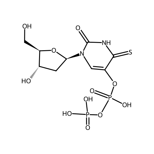 O=c1[nH]c(=S)c(OP(=O)(O)OP(=O)(O)O)cn1[C@H]1C[C@H](O)[C@@H](CO)O1